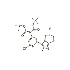 Cc1nc2ccc(F)cn2c1-c1cc(N(C(=O)OC(C)(C)C)C(=O)OC(C)(C)C)cc(Cl)n1